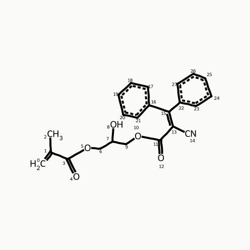 C=C(C)C(=O)OCC(O)COC(=O)C(C#N)=C(c1ccccc1)c1ccccc1